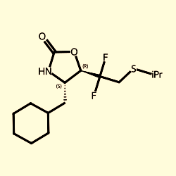 CC(C)SCC(F)(F)[C@@H]1OC(=O)N[C@H]1CC1CCCCC1